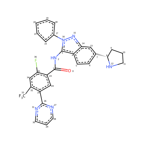 O=C(Nc1c2ccc([C@@H]3CCCN3)cc2nn1-c1ccccc1)c1cc(-c2ncccn2)c(C(F)(F)F)cc1F